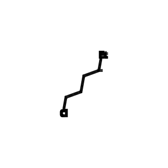 CC[CH]CCCCl